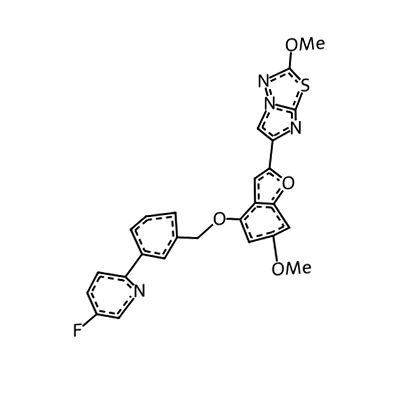 COc1cc(OCc2cccc(-c3ccc(F)cn3)c2)c2cc(-c3cn4nc(OC)sc4n3)oc2c1